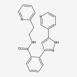 O=C(NCCc1ccccn1)c1ccccc1-c1cc(-c2cccnc2)[nH]n1